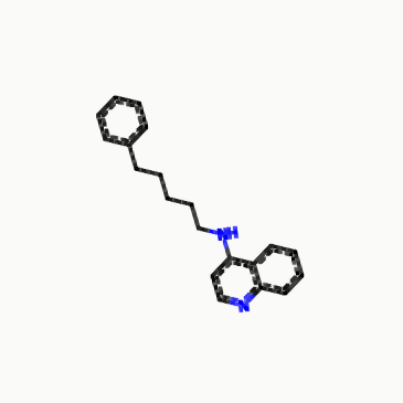 c1ccc(CCCCCNc2ccnc3ccccc23)cc1